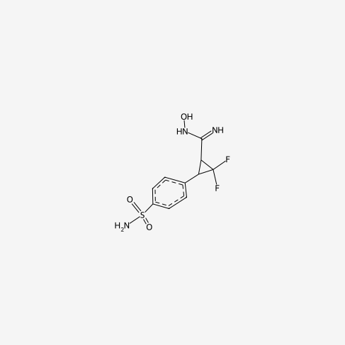 N=C(NO)C1C(c2ccc(S(N)(=O)=O)cc2)C1(F)F